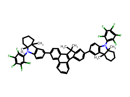 CC1(C)c2cc(-c3ccc4c(c3)C3(C)CCCCC3(C)N4c3c(F)c(F)c(F)c(F)c3F)ccc2-c2c1c1ccc(-c3ccc4c(c3)C3(C)CCCCC3(C)N4c3c(F)c(F)c(F)c(F)c3F)cc1c1ccccc21